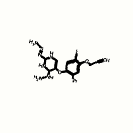 C#CCOc1cc(C(C)C)c(OC2=CNC(N=NN)NC2NN)cc1I